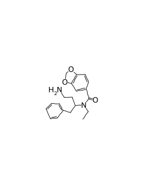 CCN(C(=O)c1ccc2c(c1)OCO2)C(CCN)Cc1ccccc1